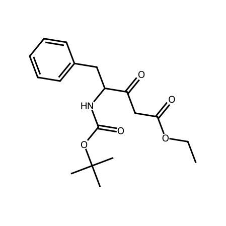 CCOC(=O)CC(=O)C(Cc1ccccc1)NC(=O)OC(C)(C)C